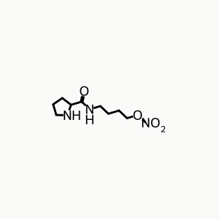 O=C(NCCCCO[N+](=O)[O-])C1CCCN1